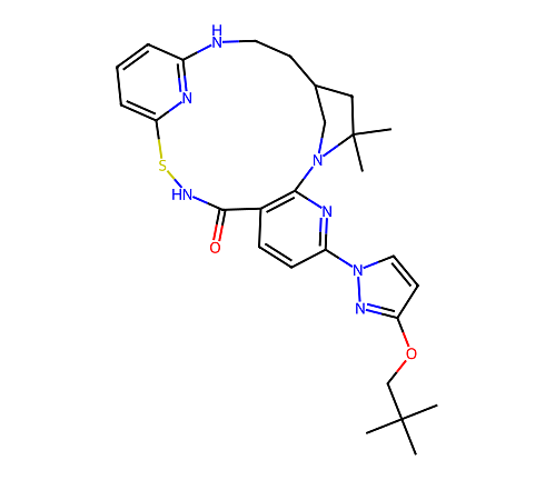 CC(C)(C)COc1ccn(-c2ccc3c(n2)N2CC(CCNc4cccc(n4)SNC3=O)CC2(C)C)n1